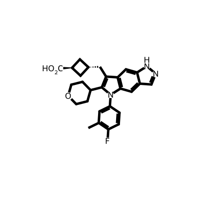 Cc1cc(-n2c(C3CCOCC3)c(C[C@H]3C[C@H](C(=O)O)C3)c3cc4[nH]ncc4cc32)ccc1F